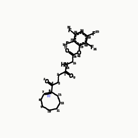 O=C(CCC(=O)/C1=C/CCCCCC1)NCC(=O)Oc1c(F)c(F)cc(F)c1F